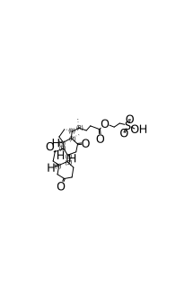 C[C@H](CCC(=O)OCCS(=O)(=O)O)[C@H]1CC[C@H]2[C@@H]3C(=O)C[C@H]4CC(=O)CC[C@]4(C)[C@H]3CC(=O)[C@]12C